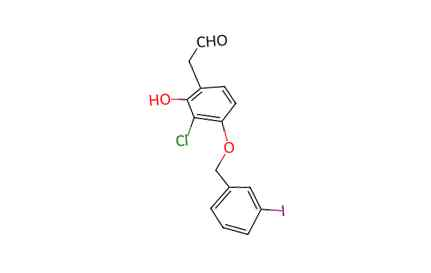 O=CCc1ccc(OCc2cccc(I)c2)c(Cl)c1O